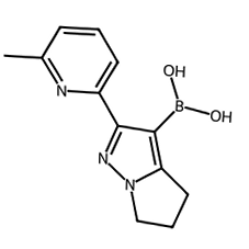 Cc1cccc(-c2nn3c(c2B(O)O)CCC3)n1